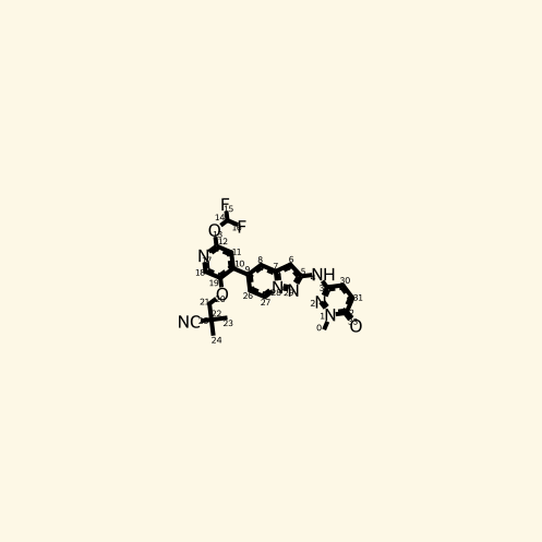 Cn1nc(Nc2cc3cc(-c4cc(OC(F)F)ncc4OCC(C)(C)C#N)ccn3n2)ccc1=O